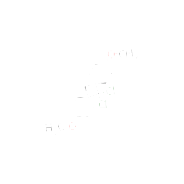 COC1CC[C@]2(CC1)C[C@@]1(CCC(OC)CC1)C2(Cl)Cl